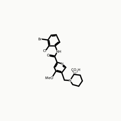 COc1cc(C(=O)Nc2cccc(Br)c2Cl)ncc1CN1CCCC[C@H]1C(=O)O